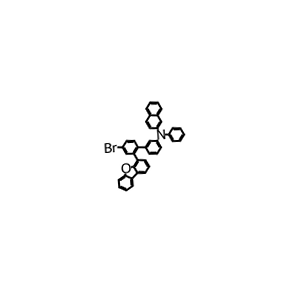 Brc1ccc(-c2cccc(N(c3ccccc3)c3ccc4ccccc4c3)c2)c(-c2cccc3c2oc2ccccc23)c1